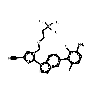 C[Si](C)(C)CCOCn1cc(C#N)nc1-c1ncn2cc(-c3c(F)ccc(N)c3F)ccc12